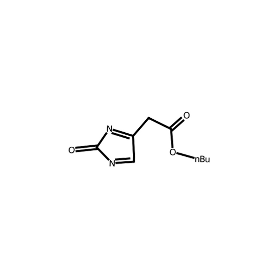 CCCCOC(=O)CC1=NC(=O)N=C1